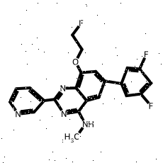 CNc1nc(-c2cccnc2)nc2c(OCCF)cc(-c3cc(F)cc(F)c3)cc12